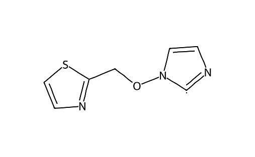 [c]1nccn1OCc1nccs1